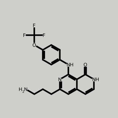 NCCCc1cc2cc[nH]c(=O)c2c(Nc2ccc(OC(F)(F)F)cc2)n1